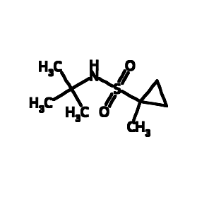 CC(C)(C)NS(=O)(=O)C1(C)CC1